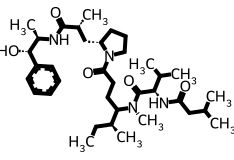 CC[C@H](C)C(CCC(=O)N1CCC[C@H]1C[C@@H](C)C(=O)N[C@H](C)[C@@H](O)c1ccccc1)N(C)C(=O)[C@@H](NC(=O)CC(C)C)C(C)C